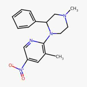 Cc1cc([N+](=O)[O-])cnc1N1CCN(C)CC1c1ccccc1